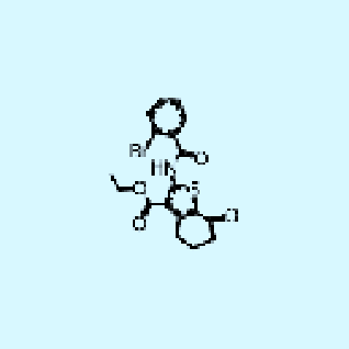 CCOC(=O)c1c(NC(=O)c2ccccc2Br)sc2c1CCCC2=O